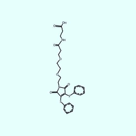 O=C(O)CCNC(=O)CCOCCOCCN1C(=O)C(Sc2ccccc2)=C(Sc2ccccc2)C1=O